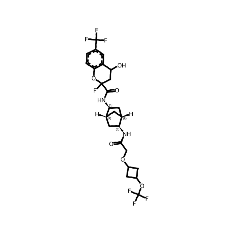 O=C(COC1CC(OC(F)(F)F)C1)N[C@H]1C[C@H]2C[C@@H]1C[C@@H]2NC(=O)C1(F)CC(O)c2cc(C(F)(F)F)ccc2O1